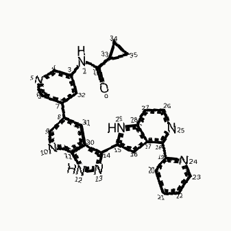 O=C(Nc1cncc(-c2cnc3[nH]nc(-c4cc5c(-c6ccccn6)nccc5[nH]4)c3c2)c1)C1CC1